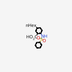 CCCCCCc1ccc(NS(=O)(=O)c2ccccc2)c(C(=O)O)c1